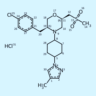 Cc1cnn(C2CCC(N3C[C@H](CS(C)(=O)=O)OC[C@@H]3Cc3ccc(Cl)cc3)CC2)c1.Cl